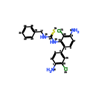 Nc1ccc(-c2ccc(N)c(Cl)c2NC(=S)NCc2ccccc2)cc1Cl